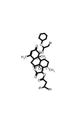 CC1=CC(=O)[C@@H](OC(CBr)OC2CCCCC2)[C@@]2(C)C1C[C@H]1OC(=O)C(OC(=O)CC(C(C)C)C(C)C)C3[C@@H](C)CCC2[C@]31C